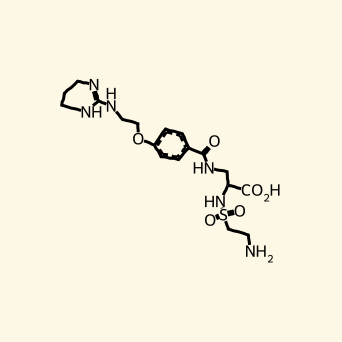 NCCS(=O)(=O)NC(CNC(=O)c1ccc(OCCNC2=NCCCN2)cc1)C(=O)O